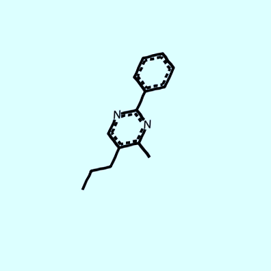 CCCc1cnc(-c2ccccc2)nc1C